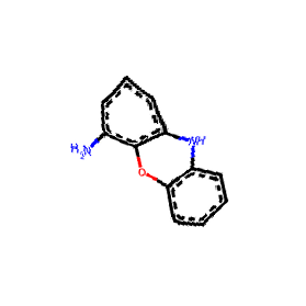 Nc1cccc2c1Oc1ccccc1N2